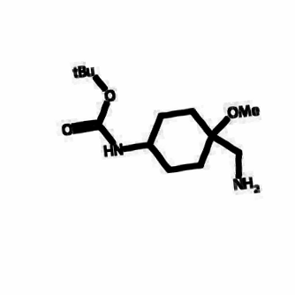 COC1(CN)CCC(NC(=O)OC(C)(C)C)CC1